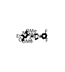 CCc1nc(OC)c(NC(=S)N2CCN(c3cc(F)cc(F)c3)CC2)cc1C(=O)OC